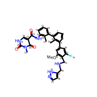 COc1cc(-c2cccc(-c3cccc(NC(=O)c4c[nH]c(=O)n(C)c4=O)c3C)c2C)cc(F)c1CNCc1ccn[nH]1